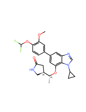 COc1cc(-c2cc(O[C@H](C)[C@H]3CNC(=O)C3)c3c(c2)ncn3C2CC2)ccc1OC(F)F